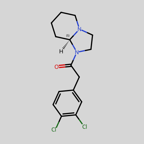 O=C(Cc1ccc(Cl)c(Cl)c1)N1CCN2CCCC[C@@H]21